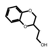 OC[CH]C1COc2ccccc2O1